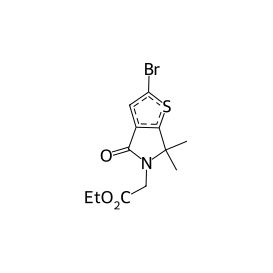 CCOC(=O)CN1C(=O)c2cc(Br)sc2C1(C)C